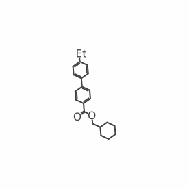 CCc1ccc(-c2ccc(C(=O)OCC3CCCCC3)cc2)cc1